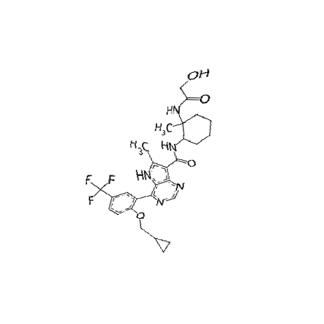 Cc1[nH]c2c(-c3cc(C(F)(F)F)ccc3OCC3CC3)ncnc2c1C(=O)NC1CCCCC1(C)NC(=O)CO